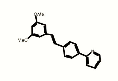 COc1cc(/C=C/c2ccc(-c3ccccn3)cc2)cc(OC)c1